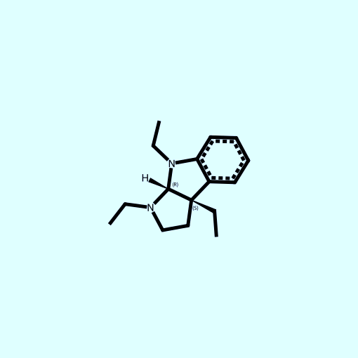 CCN1CC[C@@]2(CC)c3ccccc3N(CC)[C@@H]12